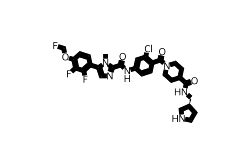 Cn1c(-c2ccc(OCF)c(F)c2F)cnc1C(=O)Nc1ccc(C(=O)N2CCC(C(=O)NC[C@@H]3CCNC3)CC2)c(Cl)c1